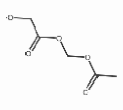 CC(=O)OCOC(=O)C[O]